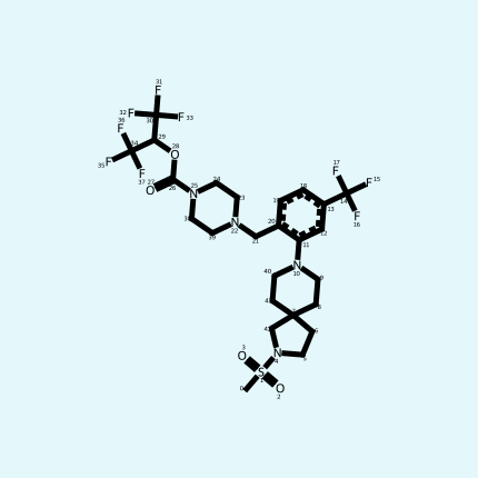 CS(=O)(=O)N1CCC2(CCN(c3cc(C(F)(F)F)ccc3CN3CCN(C(=O)OC(C(F)(F)F)C(F)(F)F)CC3)CC2)C1